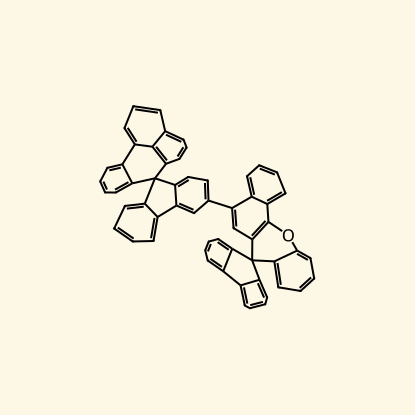 c1ccc2c(c1)Oc1c(cc(-c3ccc4c(c3)-c3ccccc3C43c4ccccc4-c4cccc5cccc3c45)c3ccccc13)C21c2ccccc2-c2ccccc21